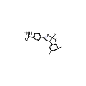 CNC(=O)c1ccc(/C=C/C(c2cc(C)cc(C)c2)C(F)(F)F)cc1